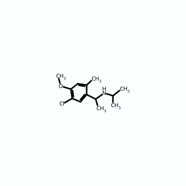 COc1cc(C)c(C(C)NC(C)C)cc1Cl